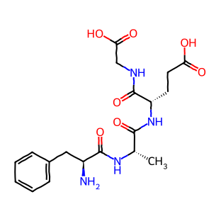 C[C@H](NC(=O)[C@@H](N)Cc1ccccc1)C(=O)N[C@@H](CCC(=O)O)C(=O)NCC(=O)O